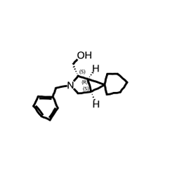 OC[C@@H]1[C@@H]2[C@H](CN1Cc1ccccc1)C21CCCCC1